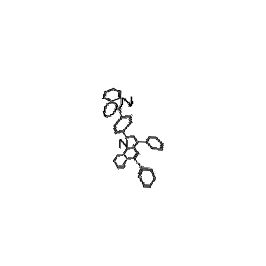 c1ccc(-c2cc3c(-c4ccccc4)cc(-c4ccc(-c5nc6ccccc6o5)cc4)nc3c3ccccc23)cc1